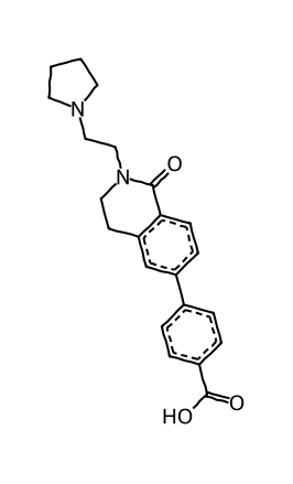 O=C(O)c1ccc(-c2ccc3c(c2)CCN(CCN2CCCC2)C3=O)cc1